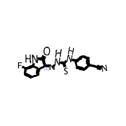 N#Cc1ccc(NC(=S)N/N=C2\C(=O)Nc3c(F)cccc32)cc1